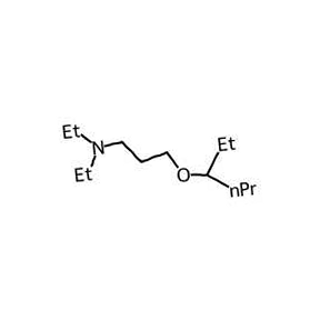 CCCC(CC)OCCCN(CC)CC